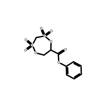 O=C(Oc1ccccc1)C1COS(=O)(=O)CS(=O)(=O)O1